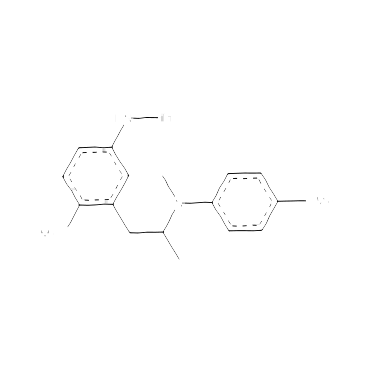 COc1ccc(NC(C)C)cc1CC(C)N(C)c1ccc(SC)cc1